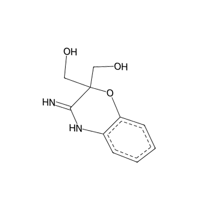 N=C1Nc2ccccc2OC1(CO)CO